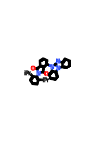 CC(C)c1cccc(C(C)C)c1N1C(=O)c2cccc(-n3c4ccccc4n4c5ccccc5nc34)c2C1=O